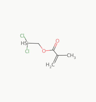 C=C(C)C(=O)OC[SiH](Cl)Cl